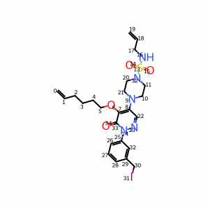 C=CCCCCOc1c(N2CCN(S(=O)(=O)NCC=C)CC2)cnn(-c2cccc(CI)c2)c1=O